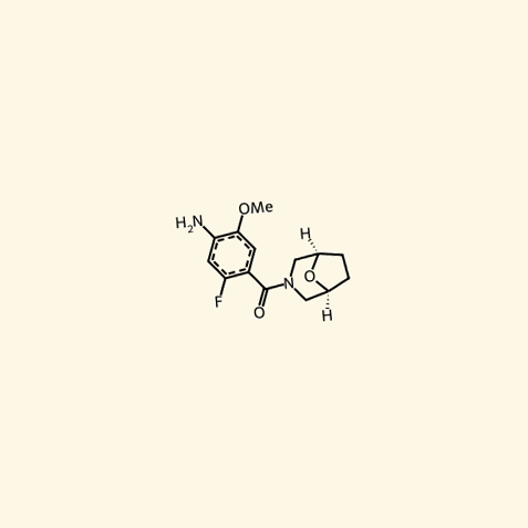 COc1cc(C(=O)N2C[C@H]3CC[C@@H](C2)O3)c(F)cc1N